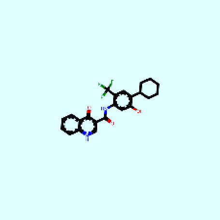 O=C(Nc1cc(O)c(C2CCCCC2)cc1C(F)(F)F)c1c[nH]c2ccccc2c1=O